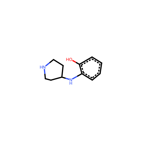 Oc1ccccc1NC1CCNCC1